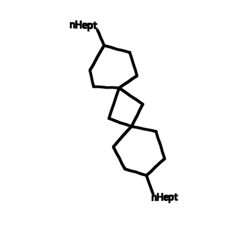 CCCCCCCC1CCC2(CC1)CC1(CCC(CCCCCCC)CC1)C2